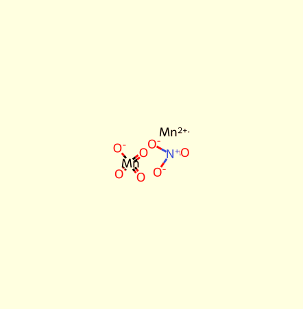 O=[N+]([O-])[O-].[Mn+2].[O]=[Mn](=[O])(=[O])[O-]